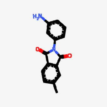 Cc1ccc2c(c1)C(=O)N(c1cccc(N)c1)C2=O